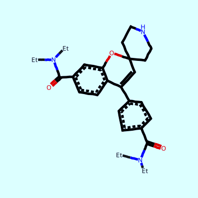 CCN(CC)C(=O)c1ccc(C2=CC3(CCNCC3)Oc3cc(C(=O)N(CC)CC)ccc32)cc1